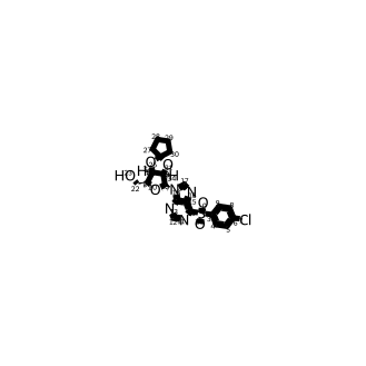 O=S(=O)(c1ccc(Cl)cc1)c1ncnc2c1ncn2[C@@H]1O[C@H](CO)[C@H]2OC3(CCCC3)O[C@H]21